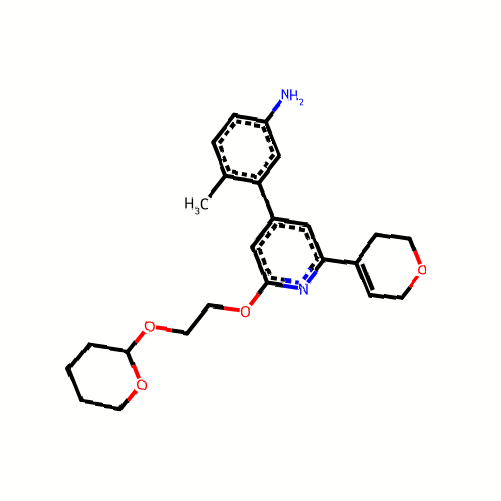 Cc1ccc(N)cc1-c1cc(OCCOC2CCCCO2)nc(C2=CCOCC2)c1